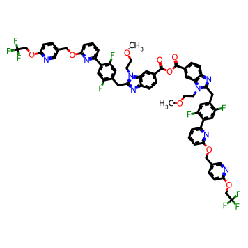 COCCn1c(Cc2cc(F)c(-c3cccc(OCc4ccc(OCC(F)(F)F)nc4)n3)cc2F)nc2ccc(C(=O)OC(=O)c3ccc4nc(Cc5cc(F)c(-c6cccc(OCc7ccc(OCC(F)(F)F)nc7)n6)cc5F)n(CCOC)c4c3)cc21